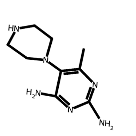 Cc1nc(N)nc(N)c1N1CCNCC1